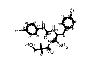 CC(C)(CO)C(=O)/N=C(\N)[C@H](Cc1ccc(Cl)cc1)NC(=O)Nc1ccc(F)cc1